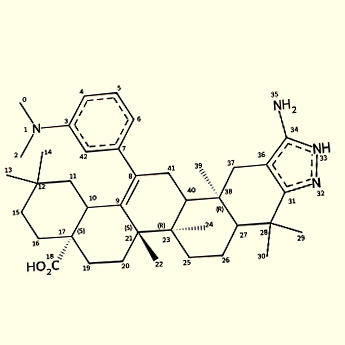 CN(C)c1cccc(C2=C3C4CC(C)(C)CC[C@]4(C(=O)O)CC[C@@]3(C)[C@]3(C)CCC4C(C)(C)c5n[nH]c(N)c5C[C@]4(C)C3C2)c1